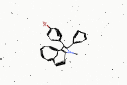 Cn1c(-c2ccccc2)c(-c2ccc(Br)cc2)c2c3ccccc3ccc21